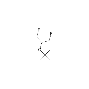 CC(C)(C)OC(CF)CF